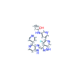 CC(C)(C)CC(O)Nc1cncc(-c2ncc3[nH]nc(-c4nc5c(-c6ccncc6)nccc5[nH]4)c3c2F)c1